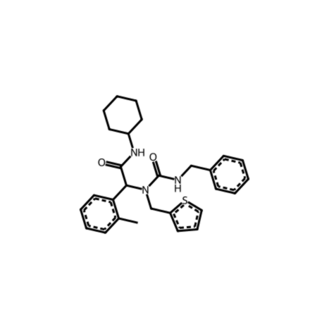 Cc1ccccc1C(C(=O)NC1CCCCC1)N(Cc1cccs1)C(=O)NCc1ccccc1